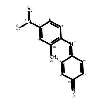 CCN(CC)c1ccc(N=C2C=CC(=O)C=C2)c(C)c1